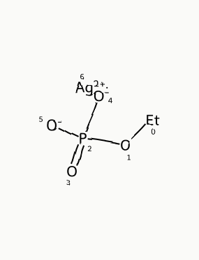 CCOP(=O)([O-])[O-].[Ag+2]